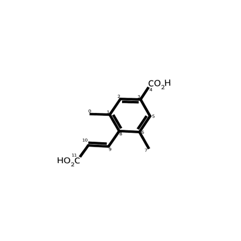 Cc1cc(C(=O)O)cc(C)c1C=CC(=O)O